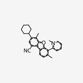 Cc1ccc2c(oc3c(C)c(C4CCCCC4)cc(C#N)c32)c1-c1cccc[n+]1C